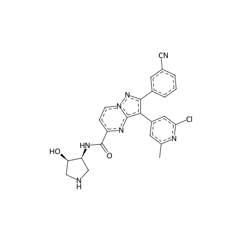 Cc1cc(-c2c(-c3cccc(C#N)c3)nn3ccc(C(=O)N[C@H]4CNC[C@H]4O)nc23)cc(Cl)n1